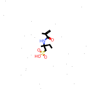 C=C(C)C(=O)NC(C)(CC)CS(=O)(=O)O